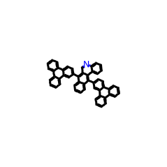 c1ccc2c(c1)ncc1c(-c3ccc4c5ccccc5c5ccccc5c4c3)c3ccccc3c(-c3ccc4c5ccccc5c5ccccc5c4c3)c12